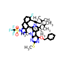 CSc1nc(OCc2ccccc2)c2c3ccnc(-c4c5cnn(S(=O)(=O)C(F)(F)F)c5cc5ccc(F)c(C#C[Si](C(C)C)(C(C)C)C(C)C)c45)c3n(C)c2n1